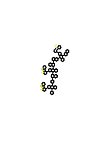 c1ccc(-c2c3ccccc3c(-c3ccc(-c4ccc(-c5c6ccccc6c(-c6ccc(-c7cccc8cc(-c9c%10ccccc%10c(-c%10ccc%11ccccc%11c%10)c%10ccc(-c%11cccc%12sc%13ccccc%13c%11%12)cc9%10)ccc78)c7ccccc67)c6ccc(-c7cccc8sc9ccccc9c78)cc56)c5ccccc45)cc3)c3ccc(-c4cccc5sc6ccccc6c45)cc23)cc1